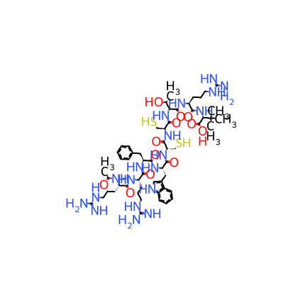 CC(=O)N[C@@H](CCCNC(=N)N)C(=O)N[C@@H](CCCNC(=N)N)C(=O)N[C@@H](Cc1ccccc1)C(=O)N[C@@H](Cc1c[nH]c2ccccc12)C(=O)N[C@@H](CS)C(=O)N[C@@H](CS)C(=O)N[C@H](C(=O)N[C@@H](CCCNC(=N)N)C(=O)N[C@H](C(=O)O)C(C)(C)C)[C@@H](C)O